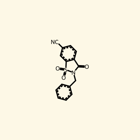 N#Cc1ccc2c(c1)S(=O)(=O)N(Cc1ccccc1)C2=O